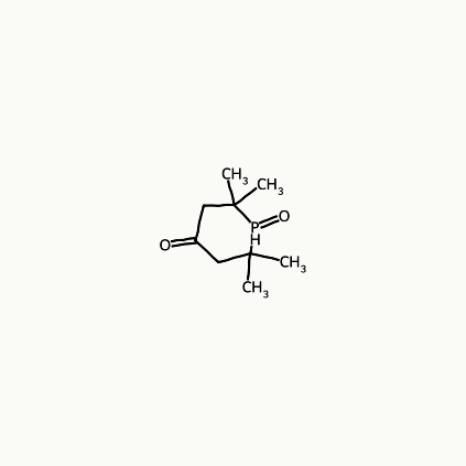 CC1(C)CC(=O)CC(C)(C)[PH]1=O